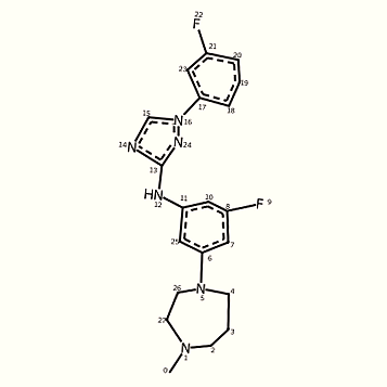 CN1CCCN(c2cc(F)cc(Nc3ncn(-c4cccc(F)c4)n3)c2)CC1